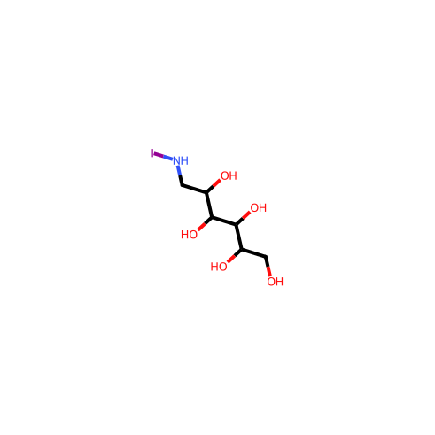 OCC(O)C(O)C(O)C(O)CNI